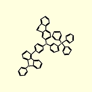 c1ccc(-n2c3ccccc3c3c(-c4ccc(N(c5cccc([Si](c6ccccc6)(c6ccccc6)c6ccccc6)c5)c5ccc6c(ccc7ccccc76)c5)cc4)cccc32)cc1